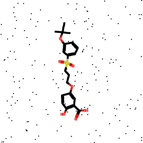 CC(C)(C)Oc1cccc(S(=O)(=O)CCCOc2ccc(O)c(C(=O)O)c2)c1